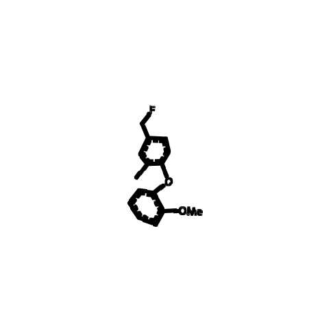 COc1ccccc1Oc1ccc(CF)cc1C